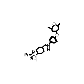 CC1CC(Oc2ccc(NCC3CCC(NS(=O)(=O)C(C)C)CC3)cc2)CC(C)O1